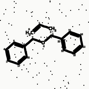 C=CC.c1ccc(COCc2ccccc2)cc1